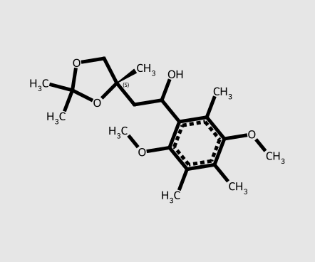 COc1c(C)c(C)c(OC)c(C(O)C[C@@]2(C)COC(C)(C)O2)c1C